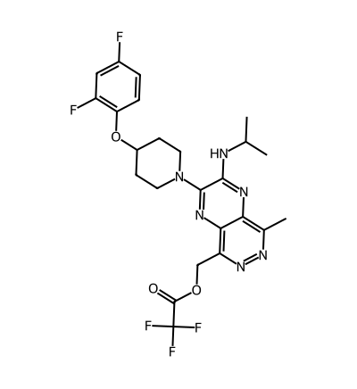 Cc1nnc(COC(=O)C(F)(F)F)c2nc(N3CCC(Oc4ccc(F)cc4F)CC3)c(NC(C)C)nc12